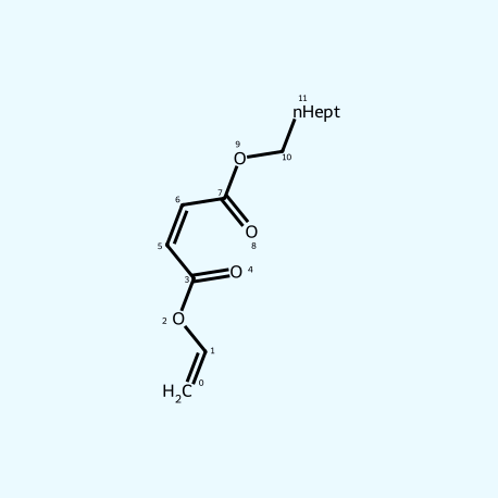 C=COC(=O)/C=C\C(=O)OCCCCCCCC